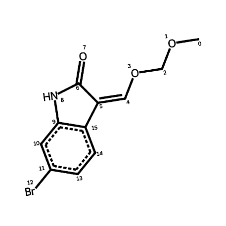 COCO/C=C1\C(=O)Nc2cc(Br)ccc21